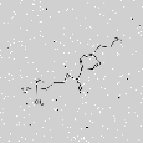 CCCc1ccc(C(=O)OCCSC(C)(C)C)cc1